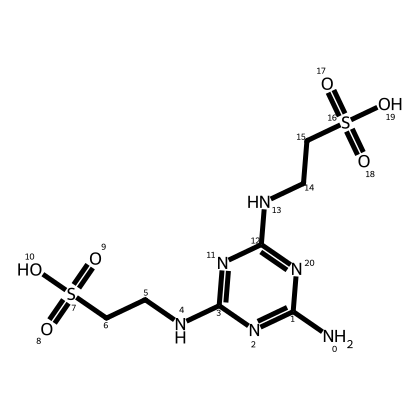 Nc1nc(NCCS(=O)(=O)O)nc(NCCS(=O)(=O)O)n1